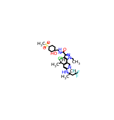 CCn1nc(C(=O)NC[C@]2(O)CC[C@@H](S(C)(=O)=O)CC2)c(Cl)c1-c1cnc(NC(C)(C)CC(F)(F)F)cc1C(C)C